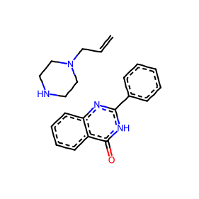 C=CCN1CCNCC1.O=c1[nH]c(-c2ccccc2)nc2ccccc12